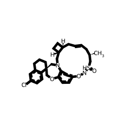 C[C@H]1C/C=C/C[C@@H]2CC[C@H]2CN2C[C@@]3(CCCc4cc(Cl)ccc43)COc3ccc(cc32)O/N=[SH](=O)\C1